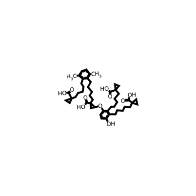 Cc1ccc(C)c(CCCCCC2(C(=O)O)CC2Oc2ccc(O)c(CCCCCC3(C(=O)O)CC3)c2CCCCCC2(C(=O)O)CC2)c1CCCCCC1(C(=O)O)CC1